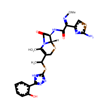 CON=C(C(=O)N[C@@H]1C(=O)N2C(C(=O)O)=C(C(C)Sc3nnc(-c4ccccc4O)[nH]3)CS[C@@H]12)c1csc(N)n1